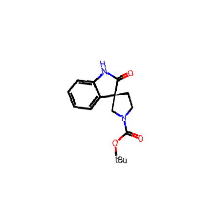 CC(C)(C)OC(=O)N1CC[C@]2(C1)C(=O)Nc1ccccc12